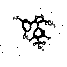 Cc1cc(C)cc(-c2noc(C)c2-c2cc(F)c(S(C)(=O)=O)c(F)c2)c1